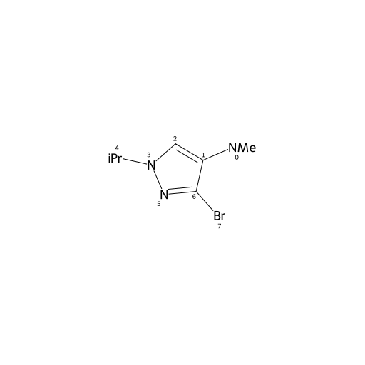 CNc1cn(C(C)C)nc1Br